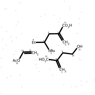 C=C(CC(CC)CCCC)C(=O)O.C=C(CCO)C(=O)O.C=COC(C)=O